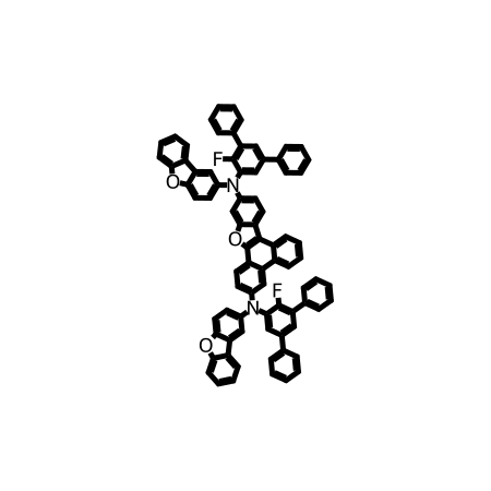 Fc1c(-c2ccccc2)cc(-c2ccccc2)cc1N(c1ccc2c(c1)oc1c3ccc(N(c4ccc5oc6ccccc6c5c4)c4cc(-c5ccccc5)cc(-c5ccccc5)c4F)cc3c3ccccc3c21)c1ccc2oc3ccccc3c2c1